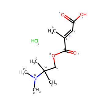 C/C(=C\C(=O)O)C(=O)OCC(C)(C)N(C)C.Cl